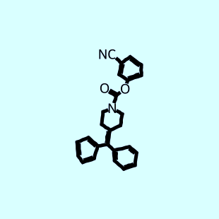 N#Cc1cccc(OC(=O)N2CCC(=C(c3ccccc3)c3ccccc3)CC2)c1